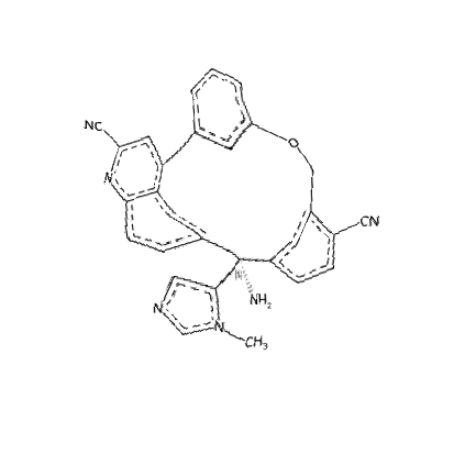 Cn1cncc1[C@]1(N)c2ccc(C#N)c(c2)COc2cccc(c2)-c2cc(C#N)nc3ccc1cc23